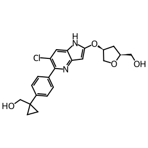 OC[C@@H]1C[C@H](Oc2cc3nc(-c4ccc(C5(CO)CC5)cc4)c(Cl)cc3[nH]2)CO1